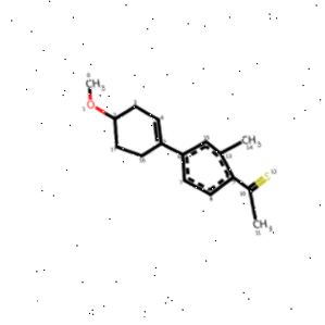 COC1CC=C(c2ccc(C(C)=S)c(C)c2)CC1